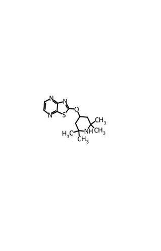 CC1(C)CC(Oc2nc3nccnc3s2)CC(C)(C)N1